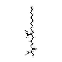 C=CCCCCCCCCC(CCCOC(=O)C(C)OC)C(C)=O